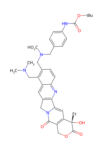 CC[C@@]1(O)C(=O)OCc2c1cc1n(c2=O)Cc2cc3c(CN(C)C)c(CN(Cc4ccc(NC(=O)OC(C)(C)C)cc4)C(=O)O)ccc3nc2-1